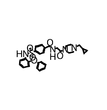 O=C(NCC(=O)N1CCN(CC2CC2)CC1)c1ccc(S(=O)(=O)Nc2ccccc2Oc2ccccc2)cc1